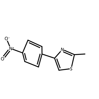 Cc1nc(-c2ccc([N+](=O)[O-])cc2)cs1